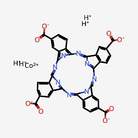 O=C([O-])c1ccc2c(c1)-c1nc-2nc2[n-]c(nc3nc(nc4[n-]c(n1)c1ccc(C(=O)[O-])cc41)-c1ccc(C(=O)[O-])cc1-3)c1ccc(C(=O)[O-])cc21.[Co+2].[H+].[H+].[H+].[H+]